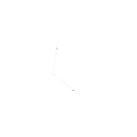 CCCCC=CCCCCCCCCOCCN(C)CCOCCCCCCCCC=CCCCC